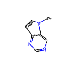 CC(C)n1ccc2ncncc21